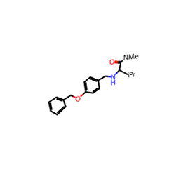 CNC(=O)C(NCc1ccc(OCc2ccccc2)cc1)C(C)C